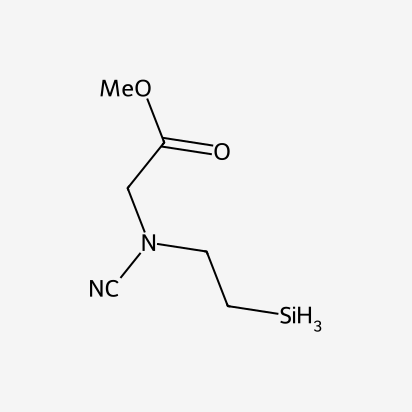 COC(=O)CN(C#N)CC[SiH3]